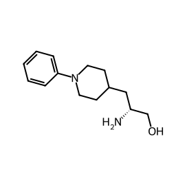 N[C@@H](CO)CC1CCN(c2ccccc2)CC1